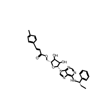 CC[C@H](Nc1ncnc2c1ncn2[C@@H]1O[C@H](COC(=O)/C=C/c2ccc(C)cc2)C(O)C1O)c1ccccc1